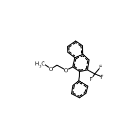 COCOc1c(-c2ccccc2)c(C(F)(F)F)cc2ccccc12